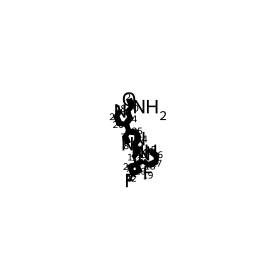 NC(=O)c1cc(-c2cnc(NC[C@]3(c4ncccc4F)C[C@H](F)C3)nc2)ccn1